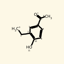 CCc1cc(C(C)=O)ccc1O